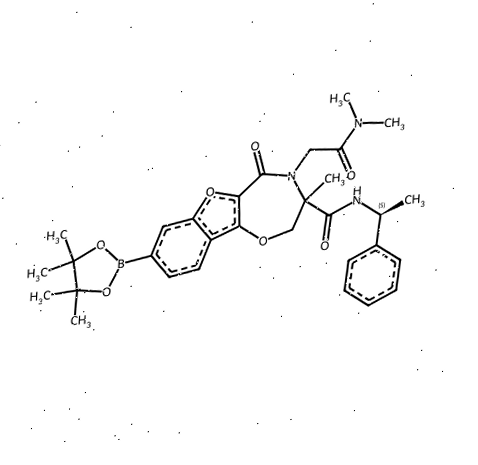 C[C@H](NC(=O)C1(C)COc2c(oc3cc(B4OC(C)(C)C(C)(C)O4)ccc23)C(=O)N1CC(=O)N(C)C)c1ccccc1